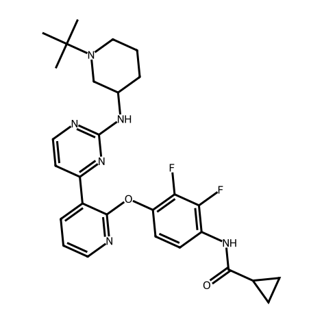 CC(C)(C)N1CCCC(Nc2nccc(-c3cccnc3Oc3ccc(NC(=O)C4CC4)c(F)c3F)n2)C1